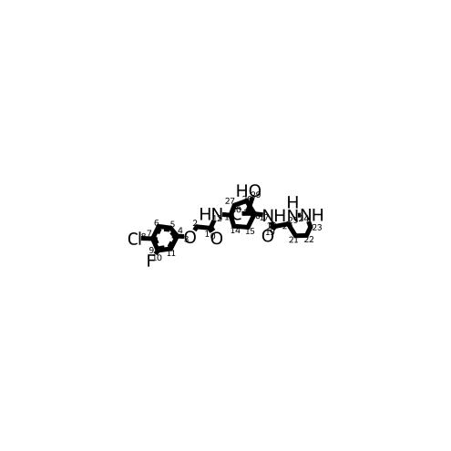 O=C(COc1ccc(Cl)c(F)c1)NC12CCC(NC(=O)C3CCCNN3)(CC1)C(O)C2